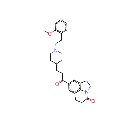 COc1ccccc1CCN1CCC(CCC(=O)c2cc3c4c(c2)CCN4C(=O)CC3)CC1